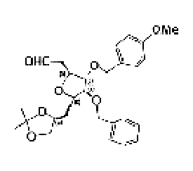 COc1ccc(CO[C@@H]2[C@@H](OCc3ccccc3)[C@@H](C[C@H]3COC(C)(C)O3)O[C@H]2CC=O)cc1